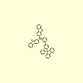 c1ccc(C2(c3ccc(-c4cccc(N(c5ccc6c(c5)sc5ccccc56)c5ccc6c(c5)sc5ccccc56)c4)cc3)c3ccccc3-c3ccccc32)cc1